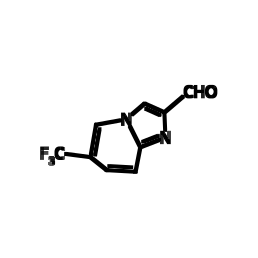 O=Cc1cn2cc(C(F)(F)F)ccc2n1